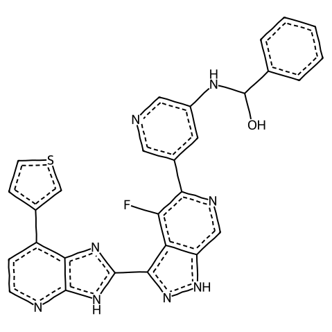 OC(Nc1cncc(-c2ncc3[nH]nc(-c4nc5c(-c6ccsc6)ccnc5[nH]4)c3c2F)c1)c1ccccc1